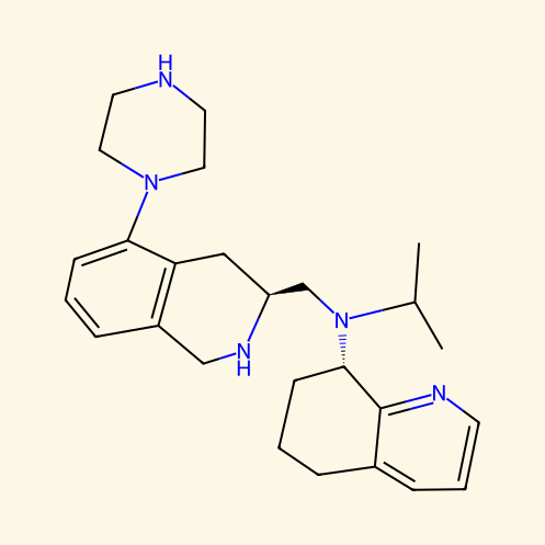 CC(C)N(C[C@@H]1Cc2c(cccc2N2CCNCC2)CN1)[C@H]1CCCc2cccnc21